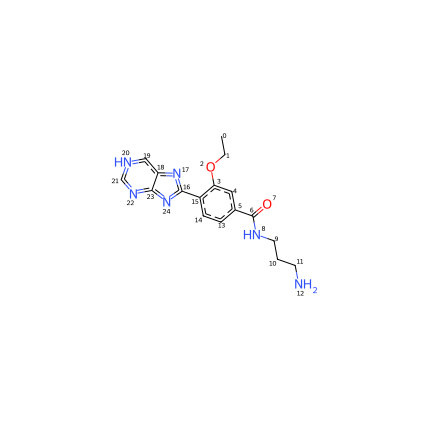 CCOc1cc(C(=O)NCCCN)ccc1-c1nc2c[nH]cnc-2n1